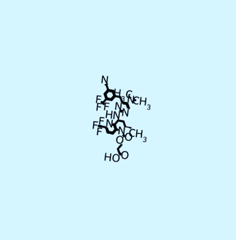 CC[C@@H]1C[C@H](Nc2ncc(N(C)C)c(Cc3cc(C#N)cc(C(F)(F)F)c3)n2)c2nc(C(F)(F)F)ccc2N1C(=O)OCCC(=O)O